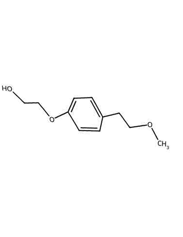 COCCc1ccc(OCCO)cc1